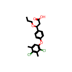 CCCOC(CC(=O)O)c1ccc(Oc2cc(C)c(Cl)c(C)c2Cl)cc1